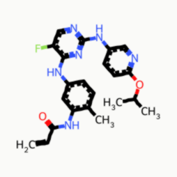 C=CC(=O)Nc1cc(Nc2nc(Nc3ccc(OC(C)C)nc3)ncc2F)ccc1C